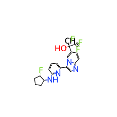 C[C@](O)(c1ccc2ncc(-c3cccc(N[C@H]4CCC[C@@H]4F)n3)n2c1)C(F)(F)F